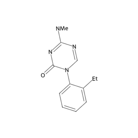 CCc1ccccc1-n1cnc(NC)nc1=O